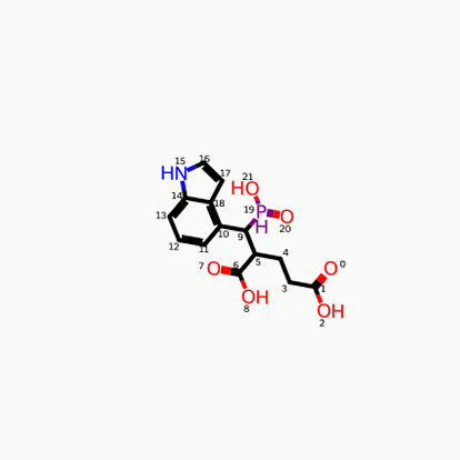 O=C(O)CCC(C(=O)O)C(c1cccc2[nH]ccc12)[PH](=O)O